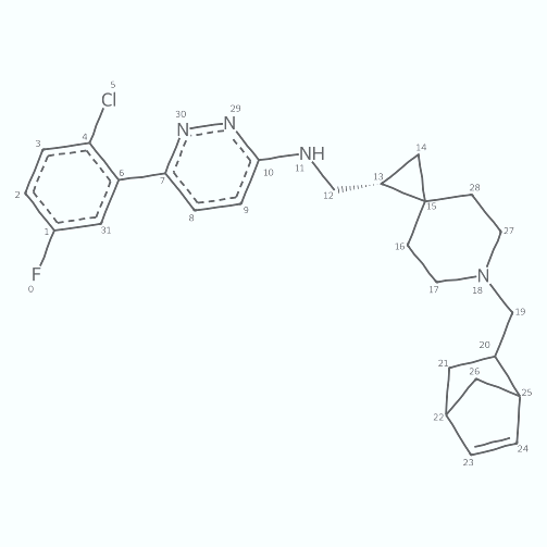 Fc1ccc(Cl)c(-c2ccc(NC[C@@H]3CC34CCN(CC3CC5C=CC3C5)CC4)nn2)c1